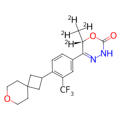 [2H]C([2H])([2H])[C@]1([2H])OC(=O)NN=C1c1ccc(C2CC3(CCOCC3)C2)c(C(F)(F)F)c1